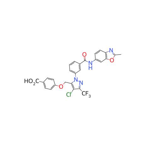 Cc1nc2ccc(NC(=O)c3cccc(-n4nc(C(F)(F)F)c(Cl)c4COc4ccc(C(=O)O)cc4)c3)cc2o1